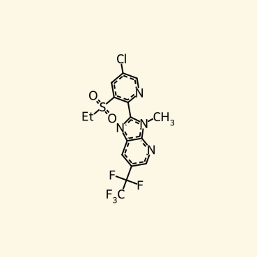 CCS(=O)(=O)c1cc(Cl)cnc1-c1nc2cc(C(F)(F)C(F)(F)F)cnc2n1C